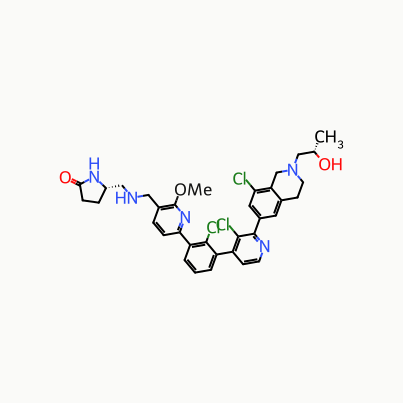 COc1nc(-c2cccc(-c3ccnc(-c4cc(Cl)c5c(c4)CCN(C[C@H](C)O)C5)c3Cl)c2Cl)ccc1CNC[C@@H]1CCC(=O)N1